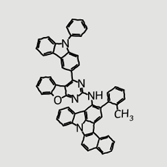 Cc1ccccc1-c1cc2c3c4ccccc4ccc3n3c4ccccc4c(c1Nc1nc(-c4ccc5c(c4)c4ccccc4n5-c4ccccc4)c4c(n1)oc1ccccc14)c23